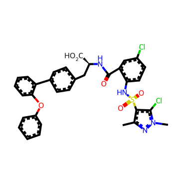 Cc1nn(C)c(Cl)c1S(=O)(=O)Nc1ccc(Cl)cc1C(=O)N[C@@H](Cc1ccc(-c2ccccc2Oc2ccccc2)cc1)C(=O)O